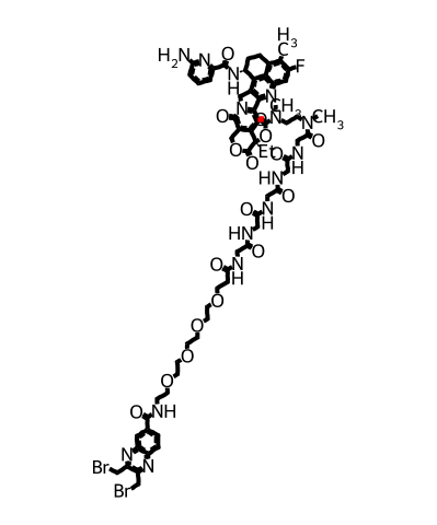 CC[C@]1(OC(=O)N(C)CCN(C)C(=O)CNC(=O)CNC(=O)CNC(=O)CNC(=O)CNC(=O)CCOCCOCCOCCOCCNC(=O)c2ccc3nc(CBr)c(CBr)nc3c2)C(=O)OCc2c1cc1n(c2=O)Cc2c-1nc1cc(F)c(C)c3c1c2[C@H](NC(=O)c1cccc(N)n1)CC3